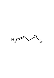 C=CCO[S]